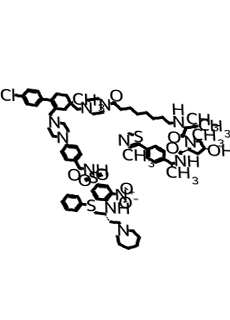 Cc1ncsc1-c1ccc([C@H](C)NC(=O)[C@@H]2C[C@@H](O)CN2C(=O)[C@@H](NCCCCCCCC(=O)N2CCN(C[C@]3(C)CCC(c4ccc(Cl)cc4)=C(CN4CCN(c5ccc(C(=O)NS(=O)(=O)c6ccc(N[C@H](CCN7CCCCCC7)CSc7ccccc7)c([N+](=O)[O-])c6)cc5)CC4)C3)CC2)C(C)(C)C)cc1